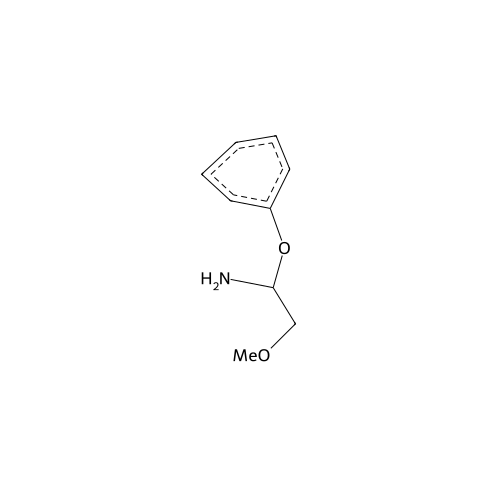 COCC(N)Oc1ccccc1